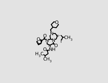 CC(C)CC(=O)N[C@H]1CN(C(=O)c2ccco2)C2CN(CC3CCOCC3)C[C@H](CC(C)I)CN2C1=O